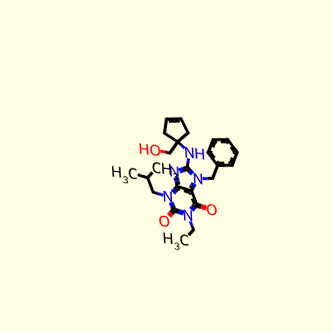 CCn1c(=O)c2c(nc(NC3(CO)CC=CC3)n2Cc2ccccc2)n(CC(C)C)c1=O